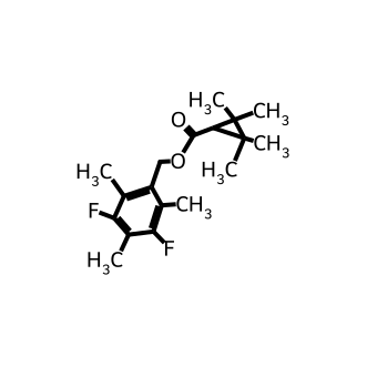 Cc1c(F)c(C)c(COC(=O)C2C(C)(C)C2(C)C)c(C)c1F